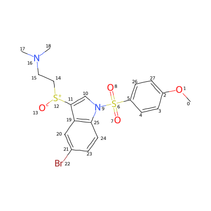 COc1ccc(S(=O)(=O)n2cc([S+]([O-])CCN(C)C)c3cc(Br)ccc32)cc1